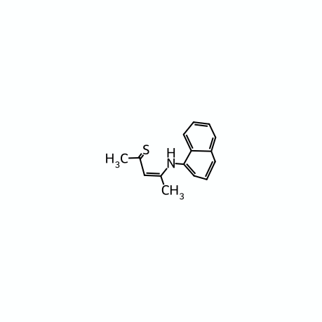 CC(=S)/C=C(/C)Nc1cccc2ccccc12